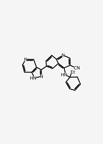 CCC1(Nc2c(C#N)cnc3ccc(-c4n[nH]c5ccncc45)cc23)C=CC=CC1